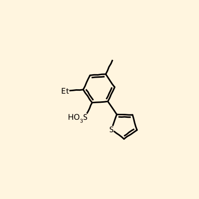 CCc1cc(C)cc(-c2cccs2)c1S(=O)(=O)O